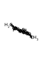 C=CCCOc1ccc(OCc2ccc(-c3ccc(C4CCC(OCCCC)CC4)c(F)c3F)cc2)cc1F